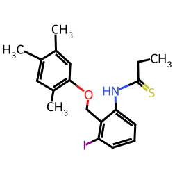 CCC(=S)Nc1cccc(I)c1COc1cc(C)c(C)cc1C